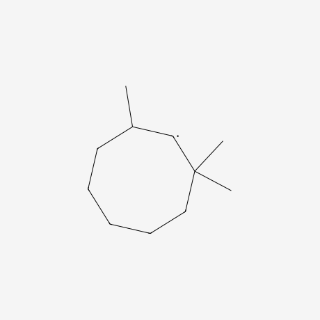 CC1[CH]C(C)(C)CCCCC1